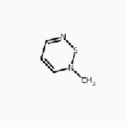 CN1C=CC=NS1